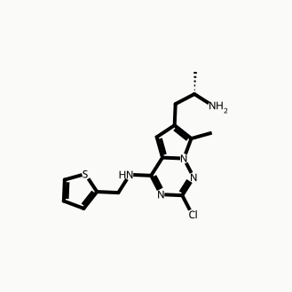 Cc1c(C[C@H](C)N)cc2c(NCc3cccs3)nc(Cl)nn12